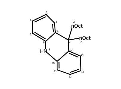 CCCCCCCCC1(CCCCCCCC)c2ccccc2Nc2ccccc21